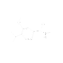 CN[S+]([O-])c1ccc(C(C)C)c(OC)c1